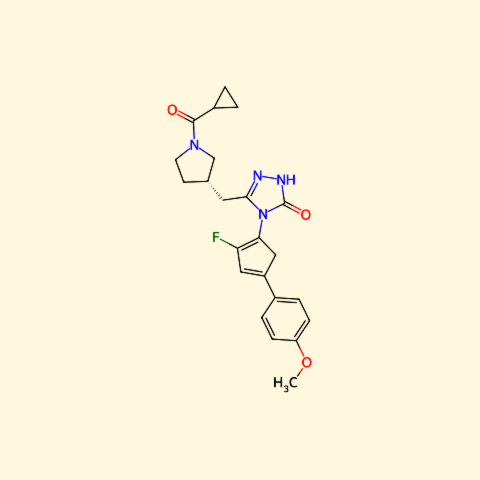 COc1ccc(C2=CC(F)=C(n3c(C[C@@H]4CCN(C(=O)C5CC5)C4)n[nH]c3=O)C2)cc1